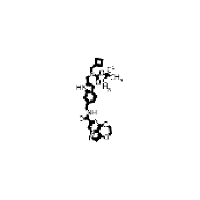 CC(C)(C)OC(=O)N(Cc1cc2ccc(CNC(=O)c3cn4ncc5c4c(n3)OCCO5)cc2[nH]1)CC1CCC1